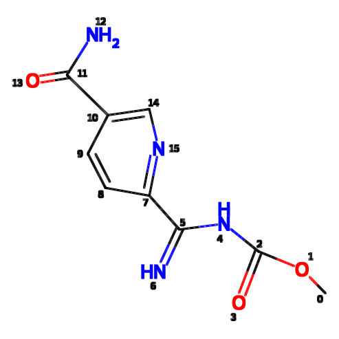 COC(=O)NC(=N)c1ccc(C(N)=O)cn1